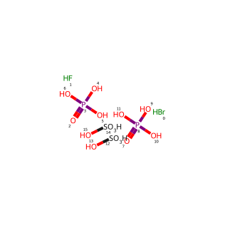 Br.F.O=P(O)(O)O.O=P(O)(O)O.O=S(=O)(O)O.O=S(=O)(O)O